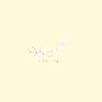 O=C1CCC(N2Cc3cc(NC(=O)c4ccccc4C4CCCC4)ccc3C2=O)C(=O)N1.O=CO